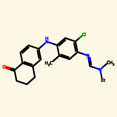 CCN(C)C=Nc1cc(C)c(Nc2ccc3c(c2)CCCC3=O)cc1Cl